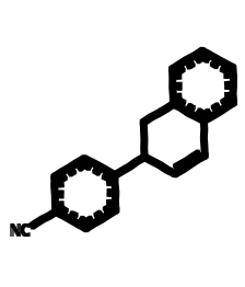 N#Cc1ccc(C2C=Cc3ccccc3C2)cc1